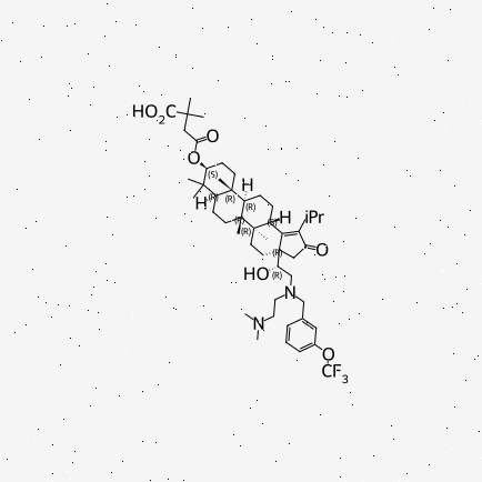 CC(C)C1=C2[C@H]3CC[C@@H]4[C@@]5(C)CC[C@H](OC(=O)CC(C)(C)C(=O)O)C(C)(C)[C@@H]5CC[C@@]4(C)[C@]3(C)CC[C@@]2([C@@H](O)CN(CCN(C)C)Cc2cccc(OC(F)(F)F)c2)CC1=O